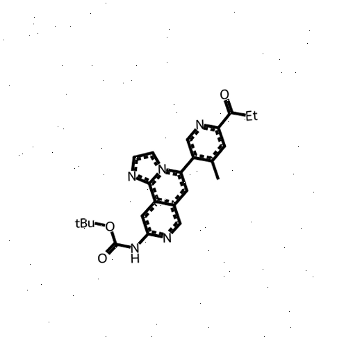 CCC(=O)c1cc(C)c(-c2cc3cnc(NC(=O)OC(C)(C)C)cc3c3nccn23)cn1